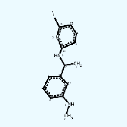 CNc1cccc(C(C)Nc2cccc(F)n2)c1